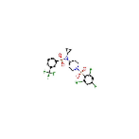 O=S(=O)(c1c(Br)cc(F)cc1Br)N1CCC(N(C2CC2)S(=O)(=O)c2cccc(C(F)(F)F)c2)CC1